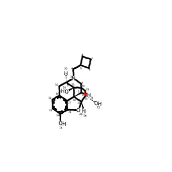 CC1CN(CC2CCC2)[C@@H]2Cc3ccc(O)c4c3[C@]13[C@@H](O4)[C@@H](O)CC[C@@]23O